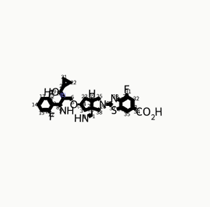 N=C[C@@]12C[C@@H](OC/C(C(=N)c3c(F)cccc3F)=C(/O)C3CC3)C[C@@H]1CN(c1nc3c(F)cc(C(=O)O)cc3s1)C2